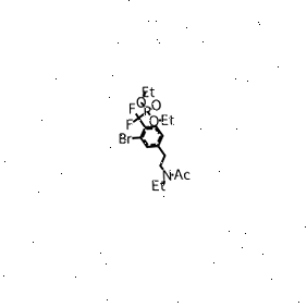 CCOP(=O)(OCC)C(F)(F)c1ccc(CCN(CC)C(C)=O)cc1Br